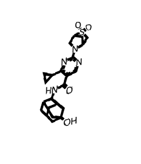 O=C(NC1C2CC3CC1CC(O)(C3)C2)c1cnc(N2CC3CC2CS3(=O)=O)nc1C1CC1